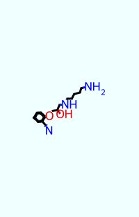 N#Cc1ccccc1OCC(O)CNCCCCCN